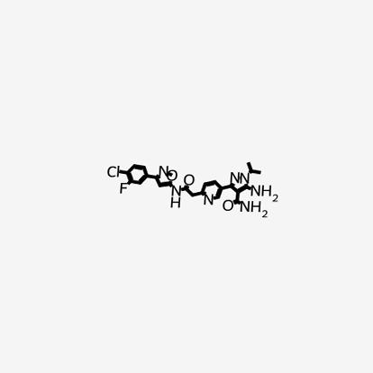 CC(C)n1nc(-c2ccc(CC(=O)Nc3cc(-c4ccc(Cl)c(F)c4)no3)nc2)c(C(N)=O)c1N